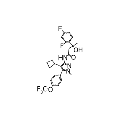 Cn1nc(NC(=O)CC(C)(O)c2ccc(F)cc2F)c(C2CCC2)c1-c1ccc(OC(F)(F)F)cc1